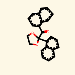 O=C(c1cccc2ccccc12)C1(c2cccc3ccccc23)OCCO1